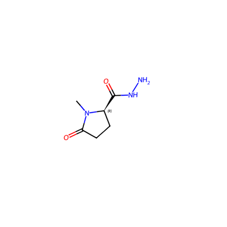 CN1C(=O)CC[C@@H]1C(=O)NN